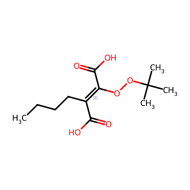 CCCC/C(C(=O)O)=C(/OOC(C)(C)C)C(=O)O